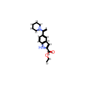 C=C(c1ccc2[nH]c(C(=O)OCC)cc2c1)N1CCCCC1